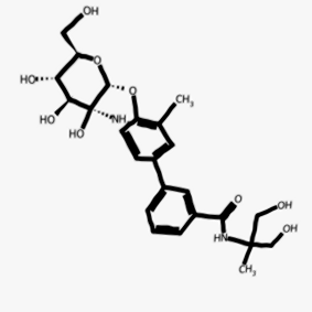 Cc1cc(-c2cccc(C(=O)NC(C)(CO)CO)c2)ccc1O[C@H]1O[C@H](CO)[C@@H](O)[C@H](O)[C@]1(N)O